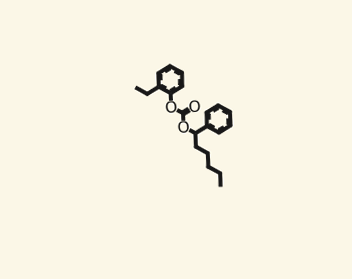 CCCCCC(OC(=O)Oc1ccccc1CC)c1ccccc1